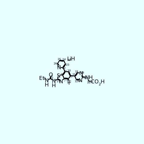 CCNC(=O)Nc1nc2c(F)c(-c3cnc(NCC(=O)O)nc3)cc(-c3ccccn3)c2s1.[LiH]